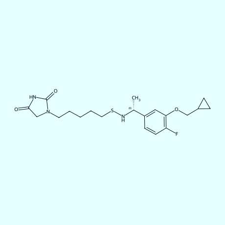 C[C@@H](NSCCCCCN1CC(=O)NC1=O)c1ccc(F)c(OCC2CC2)c1